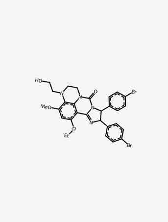 CCOc1cc(OC)c2c3c1C1=NC(c4ccc(Br)cc4)C(c4ccc(Br)cc4)N1C(=O)N3CCN2CCO